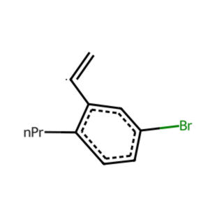 C=[C]c1cc(Br)ccc1CCC